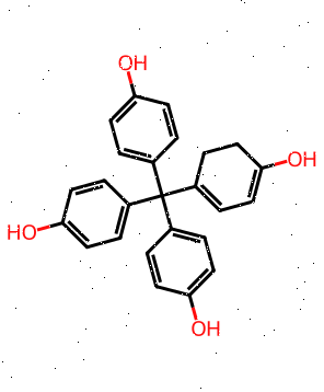 OC1=CC=C(C(c2ccc(O)cc2)(c2ccc(O)cc2)c2ccc(O)cc2)CC1